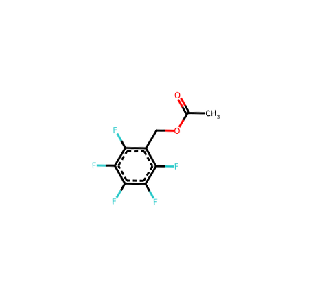 CC(=O)OCc1c(F)c(F)c(F)c(F)c1F